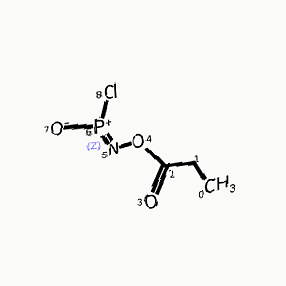 CCC(=O)O/N=[P+](/[O-])Cl